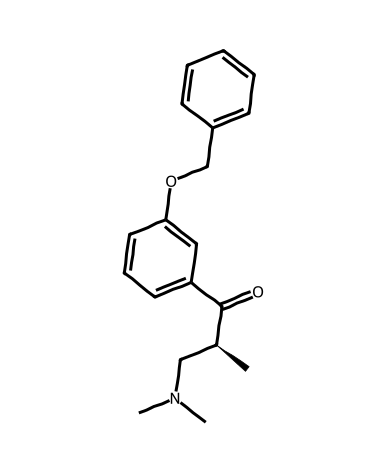 C[C@@H](CN(C)C)C(=O)c1cccc(OCc2ccccc2)c1